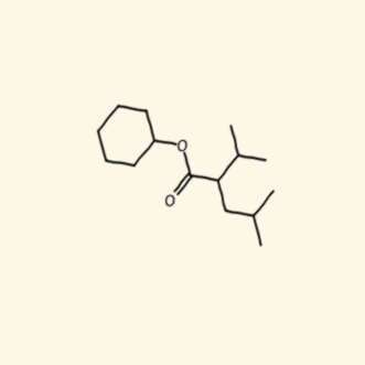 CC(C)CC(C(=O)OC1CCCCC1)C(C)C